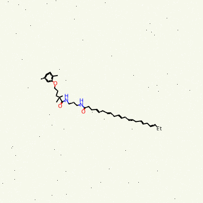 CCC=CCC=CCC=CCC=CCC=CCC=CCCC(=O)NCCCNC(=O)C(C)(C)CCCOc1cc(C)ccc1C